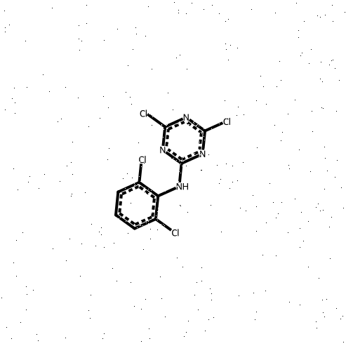 Clc1nc(Cl)nc(Nc2c(Cl)cccc2Cl)n1